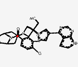 N#CCC1(n2cc(-c3ncnc4[nH]ccc34)cn2)CN(C2CC3CCC(C2)N3C(=O)c2ccc(Cl)c(F)c2)C1